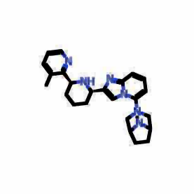 Cc1cccnc1[C@@H]1CCC[C@H](c2cn3c(N4CC5CCC(C4)N5C)cccc3n2)N1